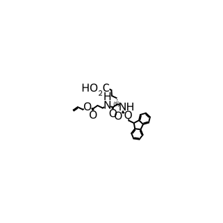 C=CCOC(=O)CCNC(=O)[C@H](CCCC(=O)O)NC(=O)OCC1c2ccccc2-c2ccccc21